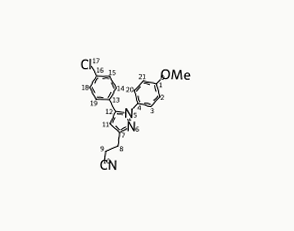 COc1ccc(-n2nc(CCC#N)cc2-c2ccc(Cl)cc2)cc1